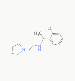 CC(NCCN1CCCC1)c1ccccc1Cl